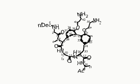 CCCCCCCCCCNCC(=O)N(C)[C@@H]1C(=O)N[C@@H](C)C(=O)N[C@H](C(=O)N[C@@H](C)C(C)=O)Cc2ccc(OCCN)c(c2)-c2cc1ccc2OCCN